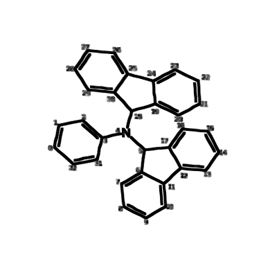 c1ccc(N(C2c3ccccc3-c3ccccc32)C2c3ccccc3-c3ccccc32)cc1